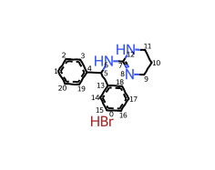 Br.c1ccc(C(NC2=NCCCN2)c2ccccc2)cc1